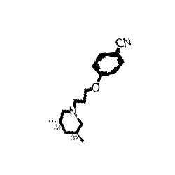 C[C@H]1C[C@H](C)CN(CCCOc2ccc(C#N)cc2)C1